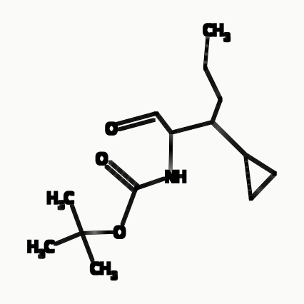 CCCC(C1CC1)C(C=O)NC(=O)OC(C)(C)C